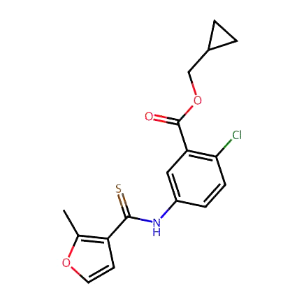 Cc1occc1C(=S)Nc1ccc(Cl)c(C(=O)OCC2CC2)c1